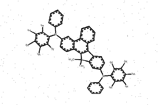 [2H]c1c([2H])c([2H])c(N(c2ccccc2)c2ccc3c(c2)C(C)(C)c2c-3c3ccccc3c3cc(N(c4ccccc4)c4c([2H])c([2H])c([2H])c([2H])c4[2H])ccc23)c([2H])c1[2H]